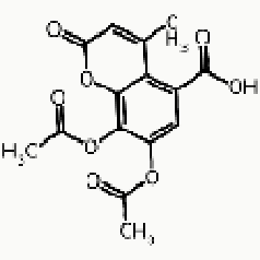 CC(=O)Oc1cc(C(=O)O)c2c(C)cc(=O)oc2c1OC(C)=O